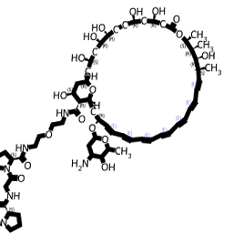 CC(=O)N1CCC[C@H]1C(=O)NCC(=O)N1CCC[C@H]1C(=O)NCCOCCNC(=O)[C@H]1[C@@H]2C[C@@H](OC3CC(N)C(O)C(C)O3)/C=C/C=C/C=C/C=C/C=C/C=C/C=C/[C@H](C)[C@@H](O)[C@@H](C)[C@H](C)OC(=O)C[C@H](O)C[C@H](O)CC[C@@H](O)[C@H](O)C[C@H](O)C[C@](O)(C[C@@H]1O)O2